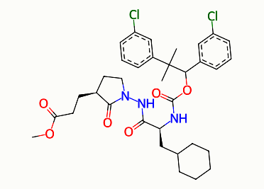 COC(=O)CC[C@H]1CCN(NC(=O)[C@H](CC2CCCCC2)NC(=O)OC(c2cccc(Cl)c2)C(C)(C)c2cccc(Cl)c2)C1=O